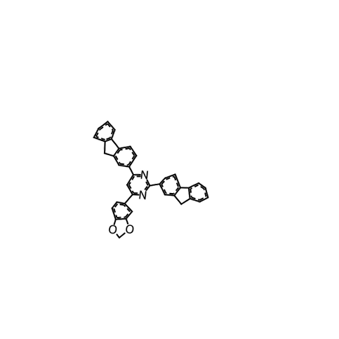 c1ccc2c(c1)Cc1cc(-c3cc(-c4ccc5c(c4)OCO5)nc(-c4ccc5c(c4)Cc4ccccc4-5)n3)ccc1-2